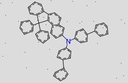 c1ccc(-c2ccc(N(c3ccc(-c4ccccc4)cc3)c3ccc4c5c(ccc4c3)-c3ccccc3C5(c3ccccc3)c3ccccc3)cc2)cc1